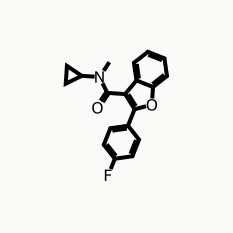 CN(C(=O)c1c(-c2ccc(F)cc2)oc2ccccc12)C1CC1